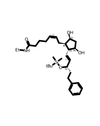 CCNC(=O)CCC/C=C\C[C@@H]1[C@@H](/C=C/[C@H](CCc2ccccc2)O[Si](C)(C)C(C)(C)C)[C@H](O)C[C@@H]1O